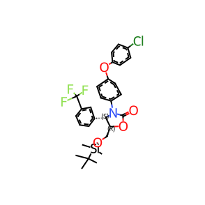 CC(C)(C)[Si](C)(C)OC[C@@H]1OC(=O)N(c2ccc(Oc3ccc(Cl)cc3)cc2)[C@H]1c1cccc(C(F)(F)F)c1